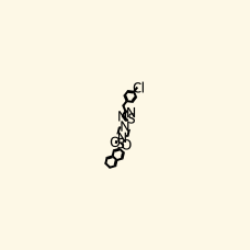 O=S(=O)(c1ccc2c(c1)=CCCC=2)N1CCN(c2nc(Cc3ccc(Cl)cc3)ns2)CC1